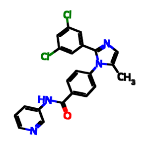 Cc1cnc(-c2cc(Cl)cc(Cl)c2)n1-c1ccc(C(=O)Nc2cccnc2)cc1